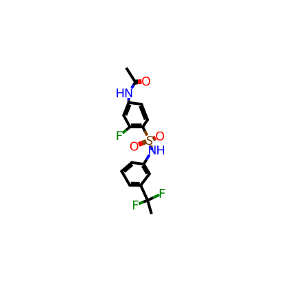 CC(=O)Nc1ccc(S(=O)(=O)Nc2cccc(C(C)(F)F)c2)c(F)c1